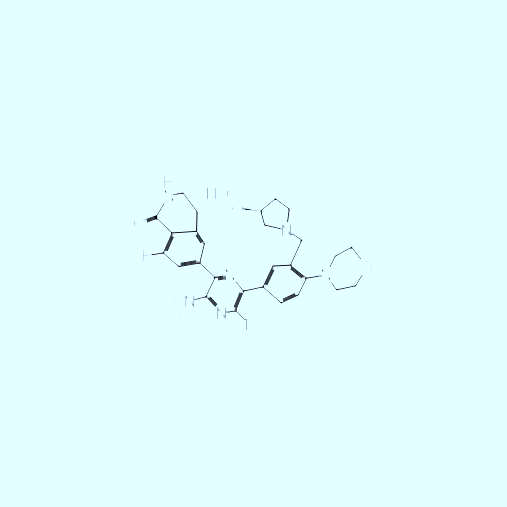 CO[C@H]1CCN(Cc2cc(-c3nc(-c4cc(F)c5c(c4)CCNC5=O)c(N)nc3F)ccc2N2CCOCC2)C1